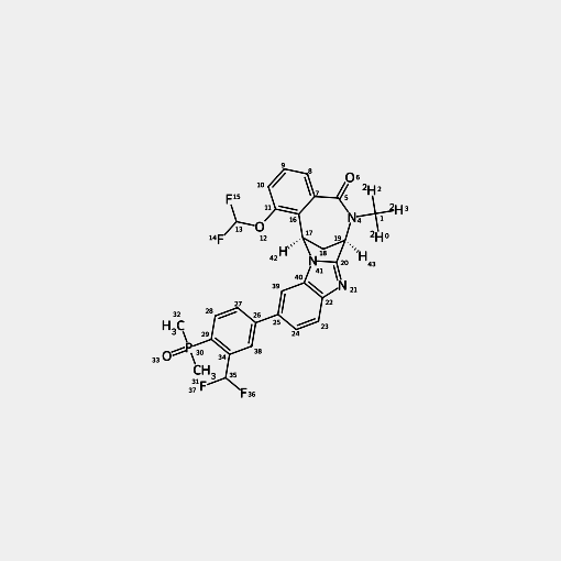 [2H]C([2H])([2H])N1C(=O)c2cccc(OC(F)F)c2[C@H]2C[C@@H]1c1nc3ccc(-c4ccc(P(C)(C)=O)c(C(F)F)c4)cc3n12